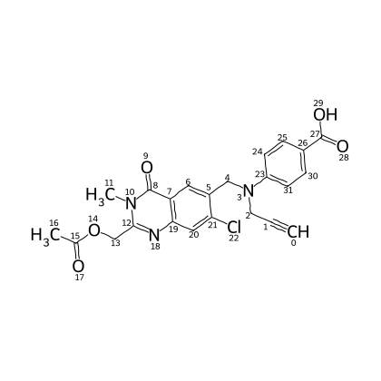 C#CCN(Cc1cc2c(=O)n(C)c(COC(C)=O)nc2cc1Cl)c1ccc(C(=O)O)cc1